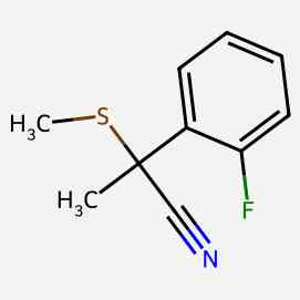 CSC(C)(C#N)c1ccccc1F